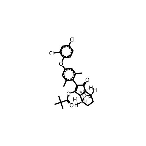 Cc1cc(Oc2ccc(Cl)cc2Cl)cc(C)c1C1=C(OC(=O)C(C)(C)C)[C@H]2[C@@H](C1=O)[C@@H]1CC[C@H]2O1